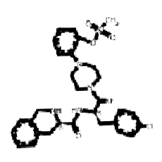 CS(=O)(=O)Oc1ccccc1N1CCN(C(=O)[C@@H](Cc2ccc(Cl)cc2)NC(=O)[C@H]2Cc3ccccc3CN2)CC1